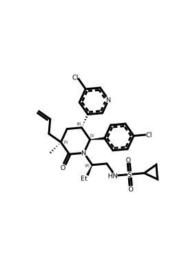 C=CC[C@@]1(C)C[C@H](c2cncc(Cl)c2)[C@@H](c2ccc(Cl)cc2)N([C@H](CC)CNS(=O)(=O)C2CC2)C1=O